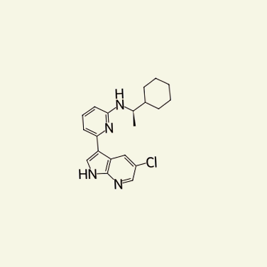 C[C@@H](Nc1cccc(-c2c[nH]c3ncc(Cl)cc23)n1)C1CCCCC1